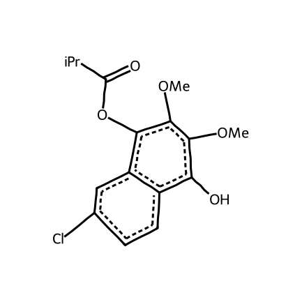 COc1c(OC)c(OC(=O)C(C)C)c2cc(Cl)ccc2c1O